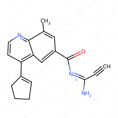 C#C/C(N)=N\C(=O)c1cc(C)c2nccc(C3=CCCC3)c2c1